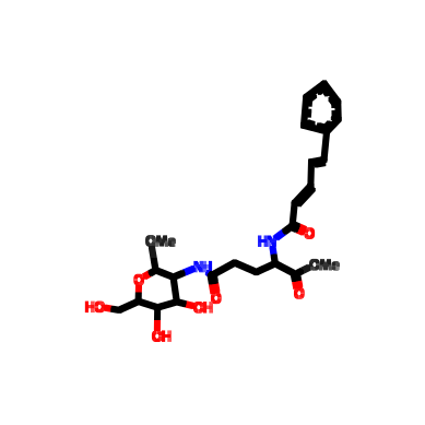 COC(=O)C(CCC(=O)NC1C(OC)OC(CO)C(O)C1O)NC(=O)C=CC=Cc1ccccc1